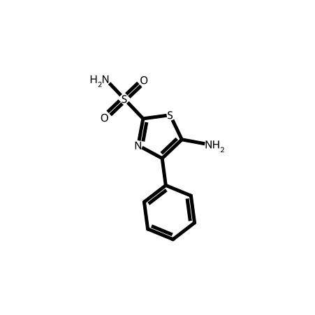 Nc1sc(S(N)(=O)=O)nc1-c1ccccc1